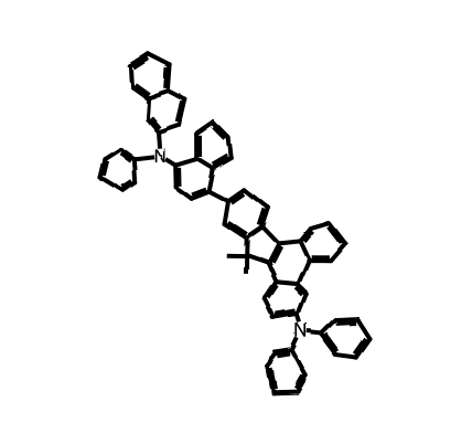 CC1(C)c2cc(-c3ccc(N(c4ccccc4)c4ccc5ccccc5c4)c4ccccc34)ccc2-c2c1c1ccc(N(c3ccccc3)c3ccccc3)cc1c1ccccc21